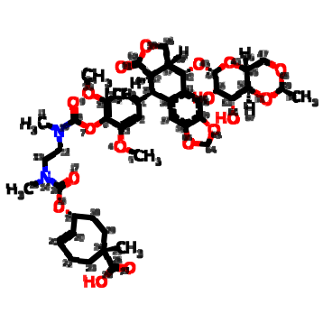 C=C(/C=C(OC)\C(OC(=O)N(C)CCN(C)C(=O)O[C@H]1/C=C/CC[C@@](C)(C(=O)O)CC1)=C(/C)OC)[C@@H]1c2cc3c(cc2[C@@H](O[C@@H]2O[C@@H]4CO[C@@H](C)O[C@H]4[C@H](O)[C@H]2O)[C@H]2COC(=O)[C@@H]21)OCO3